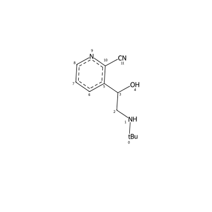 CC(C)(C)NCC(O)c1cccnc1C#N